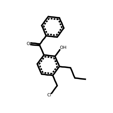 CCCc1c(CCl)ccc(C(=O)c2ccccc2)c1O